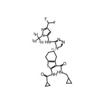 [2H]C([2H])([2H])n1nc(C(F)F)cc1Nc1nncn1[C@H]1CCc2sc(NC(=O)C3CC3)c(C(=O)NCC3CC3)c2C1